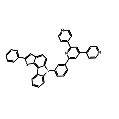 c1ccc(-c2cc3ccc4c(c5ccccc5n4-c4cccc(-c5cc(-c6ccncc6)cc(-c6ccncc6)n5)c4)c3s2)cc1